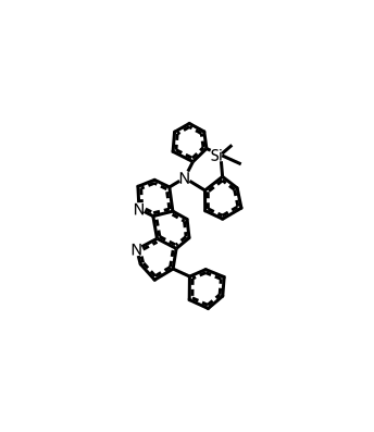 C[Si]1(C)c2ccccc2N(c2ccnc3c2ccc2c(-c4ccccc4)ccnc23)c2ccccc21